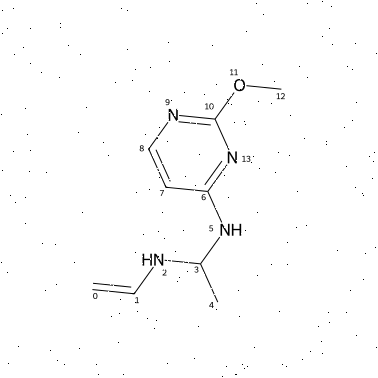 C=CNC(C)Nc1ccnc(OC)n1